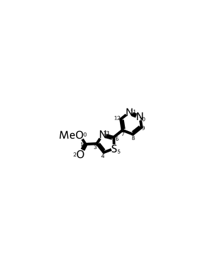 COC(=O)c1csc(-c2ccnnc2)n1